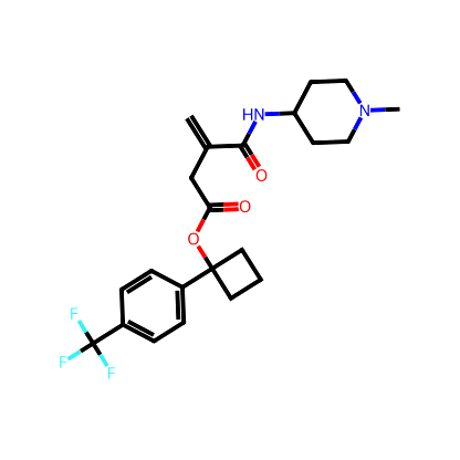 C=C(CC(=O)OC1(c2ccc(C(F)(F)F)cc2)CCC1)C(=O)NC1CCN(C)CC1